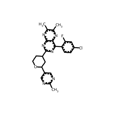 Cc1ncc(C2CC(c3nc(-c4ccc(Cl)cc4F)c4nc(C)c(C)nc4n3)CCO2)cn1